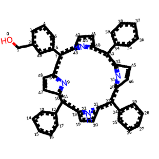 OCc1cccc(-c2c3nc(c(-c4ccccc4)c4ccc([nH]4)c(-c4ccccc4)c4nc(c(-c5ccccc5)c5ccc2[nH]5)C=C4)C=C3)c1